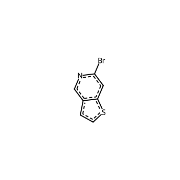 Brc1cc2sccc2cn1